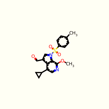 COc1ncc(C2CC2)c2c(C=O)cn(S(=O)(=O)c3ccc(C)cc3)c12